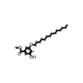 CCCCCCCCCCCCCCOc1cc(O)cc(C(=O)OC)c1